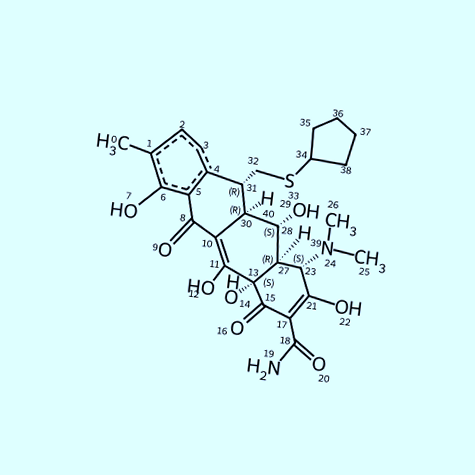 Cc1ccc2c(c1O)C(=O)C1=C(O)[C@]3(O)C(=O)C(C(N)=O)=C(O)[C@@H](N(C)C)[C@@H]3[C@@H](O)[C@@H]1[C@H]2CSC1CCCC1